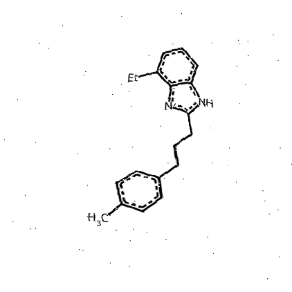 CCc1cccc2[nH]c(CCCc3ccc(C)cc3)nc12